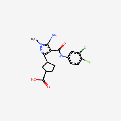 Cn1nc(C2CCC(C(=O)O)C2)c(C(=O)Nc2ccc(F)c(Cl)c2)c1N